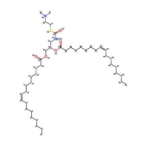 CCCCCCCC/C=C\CCCCCCCC(=O)OCC(CNC(=O)SCCN(C)C)OC(=O)CCCCCCC/C=C\CCCCCCCC